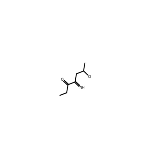 [CH2]C(Cl)CC(=N)C(=O)CC